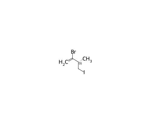 C=C(Br)[C@H](C)CI